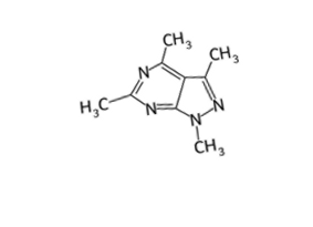 Cc1nc(C)c2c(C)nn(C)c2n1